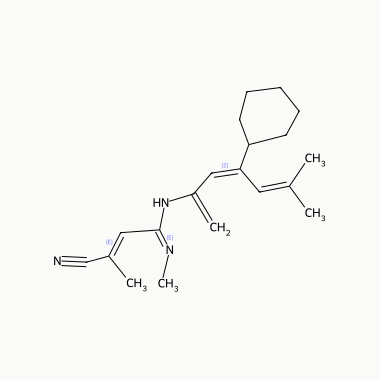 C=C(/C=C(\C=C(C)C)C1CCCCC1)NC(/C=C(\C)C#N)=N/C